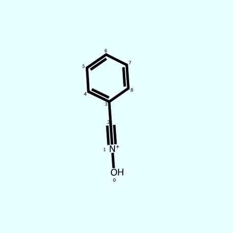 O[N+]#Cc1ccccc1